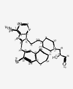 Nc1ncnc2c1nc(Sc1cc3c(cc1Br)CCCC3)n2CCC1CCN(C[C@H](O)C=O)CC1